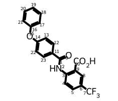 O=C(Nc1ccc(C(F)(F)F)cc1C(=O)O)c1ccc(Oc2ccccc2)cc1